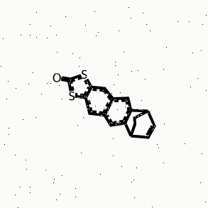 O=c1sc2cc3cc4c(cc3cc2s1)C1C=CC4CC1